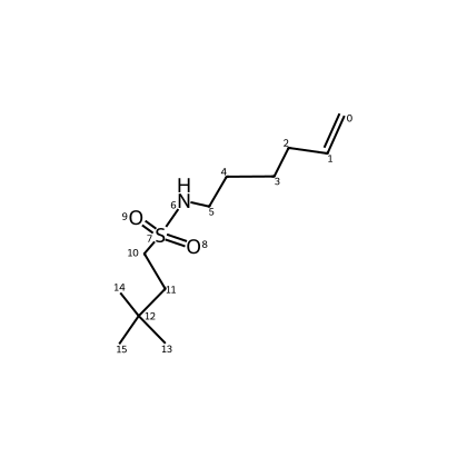 C=CCCCCNS(=O)(=O)CCC(C)(C)C